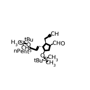 C#CC[C@@H]1[C@@H](/C=C/[C@H](CCCCC)O[Si](C)(C)C(C)(C)C)[C@H](O[Si](C)(C)C(C)(C)C)C[C@@H]1C=O